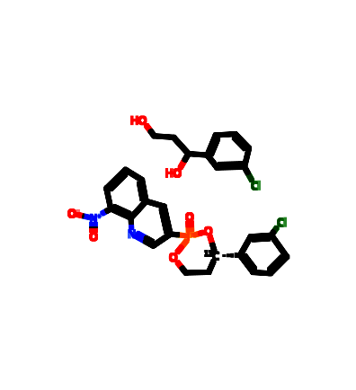 O=[N+]([O-])c1cccc2cc(P3(=O)OCC[13C@@H](c4cccc(Cl)c4)O3)cnc12.OCCC(O)c1cccc(Cl)c1